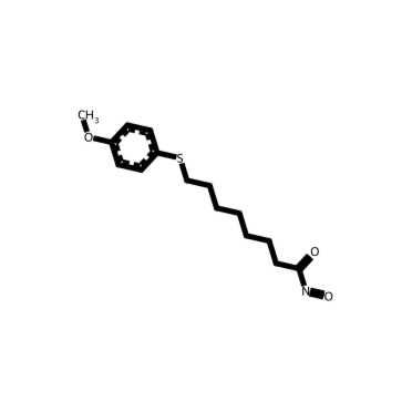 COc1ccc(SCCCCCCCC(=O)N=O)cc1